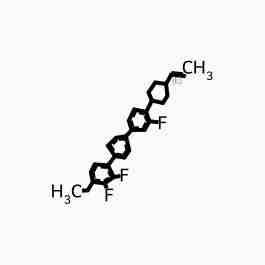 C/C=C/C1CCC(c2ccc(-c3ccc(-c4ccc(CC)c(F)c4F)cc3)cc2F)CC1